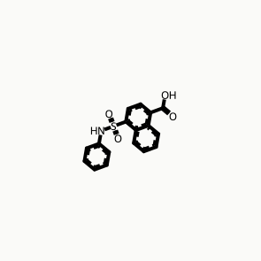 O=C(O)c1ccc(S(=O)(=O)Nc2ccccc2)c2ccccc12